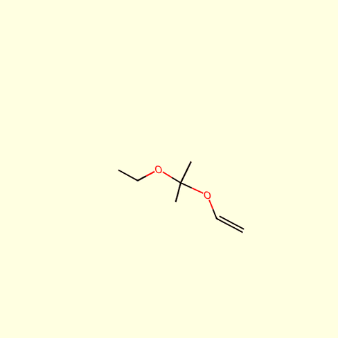 C=COC(C)(C)OCC